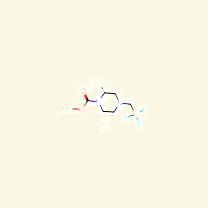 CC(C)[C@H]1CN(C[B-](F)(F)F)CCN1C(=O)OC(C)(C)C.[K+]